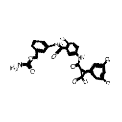 NC(=O)OCc1cccc(NC(=O)c2cc(NC(=O)C3C(c4cc(Cl)cc(Cl)c4)C3(Cl)Cl)ccc2Cl)c1